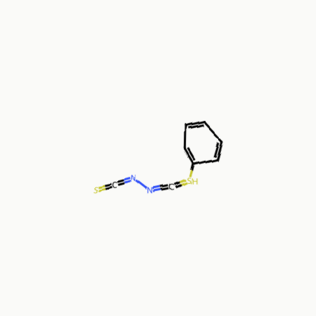 S=C=NN=C=[SH]c1ccccc1